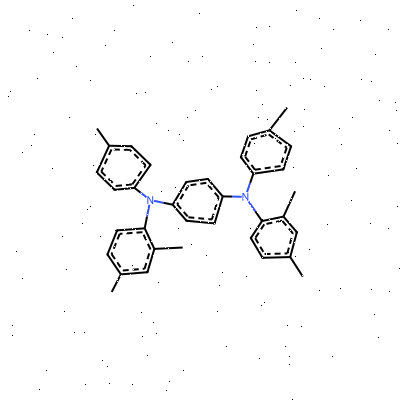 Cc1ccc(N(c2ccc(N(c3ccc(C)cc3)c3ccc(C)cc3C)cc2)c2ccc(C)cc2C)cc1